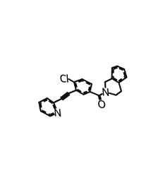 O=C(c1ccc(Cl)c(C#Cc2ccccn2)c1)N1CCc2ccccc2C1